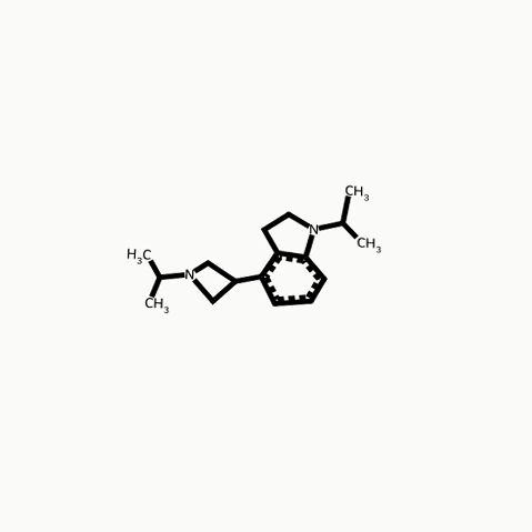 CC(C)N1CC(c2cccc3c2CCN3C(C)C)C1